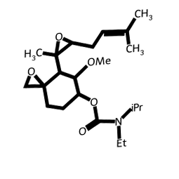 CCN(C(=O)OC1CCC2(CO2)C(C2(C)OC2CC=C(C)C)C1OC)C(C)C